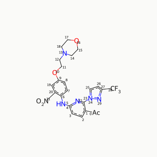 CC(=O)c1ccc(Nc2ccc(OCCN3CCOCC3)cc2[N+](=O)[O-])nc1-n1ccc(C(F)(F)F)n1